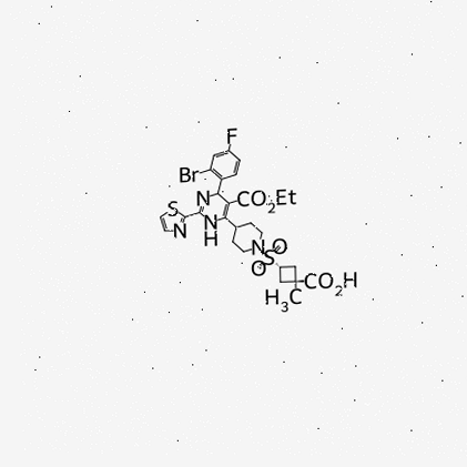 CCOC(=O)C1=C(C2CCN(S(=O)(=O)[C@H]3C[C@](C)(C(=O)O)C3)CC2)NC(c2nccs2)=NC1c1ccc(F)cc1Br